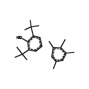 CC(C)(C)c1cccc(C(C)(C)C)c1O.Cc1cc(C)c(C)c(C)c1